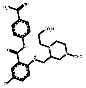 N=C(N)c1ccc(NC(=O)c2cc(Cl)ccc2NCC2CN(C=O)CCN2CCC(=O)O)cc1